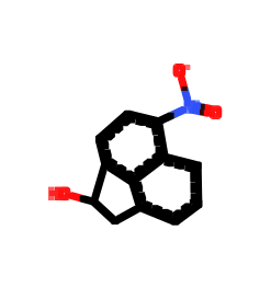 O=[N+]([O-])c1ccc2c3c(cccc13)CC2O